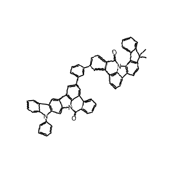 CC1(C)c2ccccc2-c2c1ccc1c3cccc4c5cc(-c6cccc(-c7cc8c9ccccc9c(=O)n9c%10cc%11c(cc%10c(c7)c89)c7ccccc7n%11-c7ccccc7)c6)ccc5c(=O)n(c21)c43